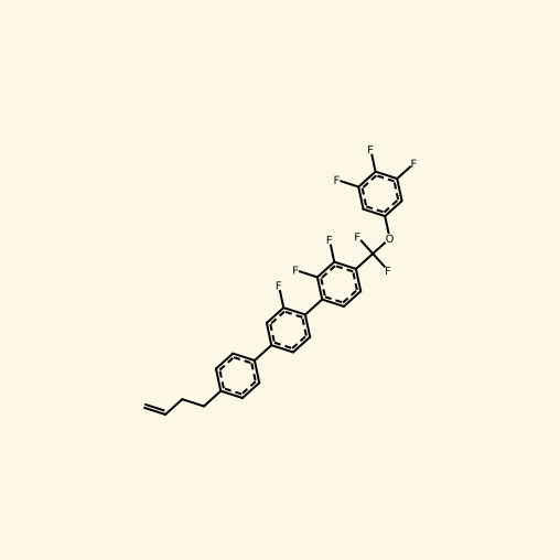 C=CCCc1ccc(-c2ccc(-c3ccc(C(F)(F)Oc4cc(F)c(F)c(F)c4)c(F)c3F)c(F)c2)cc1